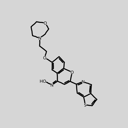 O/N=c1/cc(-c2cc3sccc3cn2)oc2ccc(OCCN3CCCOCC3)cc12